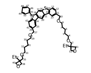 CCC1(COCCCCCOCc2ccc3sc4cc5c(cc4c3c2)c2cc(COCCCCCOCC3(CC)COC3)ccc2n5-c2ccccc2)COC1